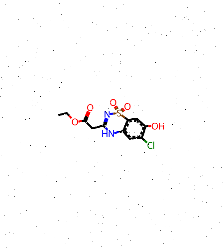 CCOC(=O)CC1=NS(=O)(=O)c2cc(O)c(Cl)cc2N1